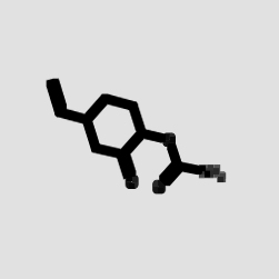 C=CC1CCC(OC(N)=O)C(=O)C1